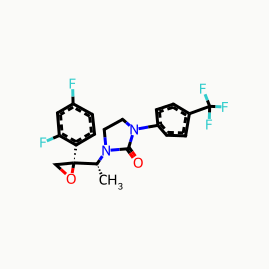 C[C@@H](N1CCN(c2ccc(C(F)(F)F)cc2)C1=O)[C@]1(c2ccc(F)cc2F)CO1